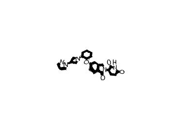 O=C1CCC(N2Cc3cc(O[C@@H]4CCCC[C@@H]4N4CC(n5cccn5)C4)ccc3C2=O)C(=O)N1